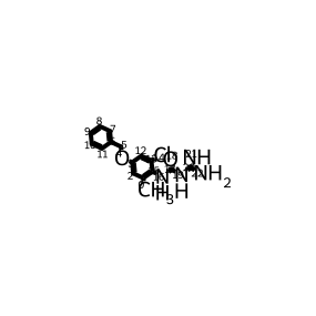 Cc1cc(OCc2ccccc2)cc(Cl)c1NC(=O)NC(=N)N